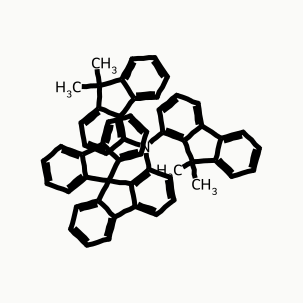 CC1(C)c2ccccc2-c2c(N(c3cccc4c3C(C)(C)c3ccccc3-4)c3cccc4c3C3(c5ccccc5-c5ccccc53)c3ccccc3-4)cccc21